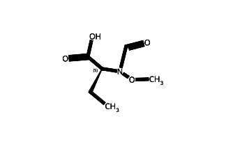 CC[C@@H](C(=O)O)N(C=O)OC